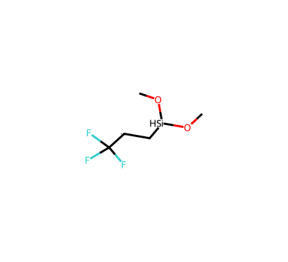 CO[SiH](C[CH]C(F)(F)F)OC